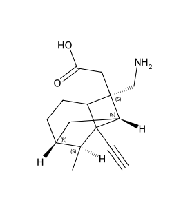 C#CC12C3CC[C@H](C[C@@H]1[C@]3(CN)CC(=O)O)[C@@H]2C